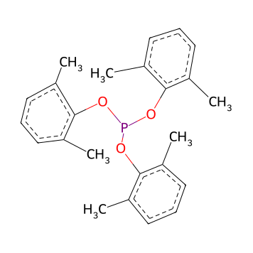 Cc1cccc(C)c1OP(Oc1c(C)cccc1C)Oc1c(C)cccc1C